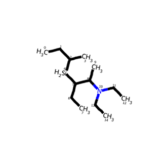 CCC(C)[SiH2]C(CC)C(C)N(CC)CC